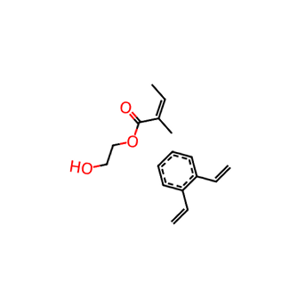 C=Cc1ccccc1C=C.CC=C(C)C(=O)OCCO